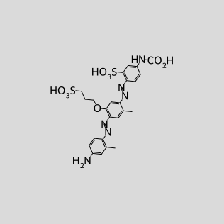 Cc1cc(N)ccc1N=Nc1cc(C)c(N=Nc2ccc(NC(=O)O)cc2S(=O)(=O)O)cc1OCCCS(=O)(=O)O